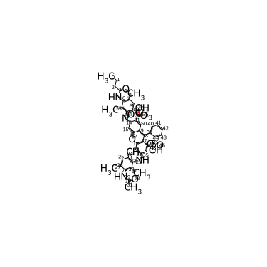 CCCC(=O)Nc1c(C)cc(C)c(/N=c2/cc3oc4cc(Nc5c(C)cc(C)c(NC(C)=O)c5C)ccc4c(-c4ccccc4S(=O)(=O)O)c-3cc2S(=O)(=O)O)c1C